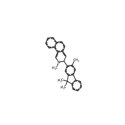 Cc1cc2c(cc1C1C=c3ccc4ccccc4c3=CN1C)C(C)(C)c1ccccc1-2